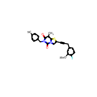 COc1cc(CC#Cc2cn3c(=O)n(Cc4ccc(C#N)cc4)c(=O)c(C)c3s2)ccc1F